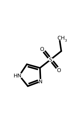 CCS(=O)(=O)c1c[nH]cn1